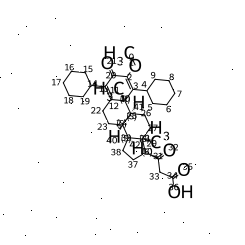 COC1=C(C2CCCCC2)[C@@]2(C)C(=C(C3CCCCC3)C1=O)CC[C@@H]1[C@@H]2CC[C@]2(C)[C@@H](C(=O)CC(=O)O)CC[C@@H]12